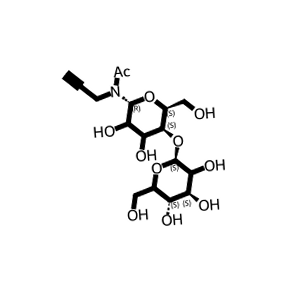 C#CCN(C(C)=O)[C@@H]1O[C@@H](CO)[C@@H](O[C@@H]2OC(CO)[C@@H](O)[C@H](O)C2O)C(O)C1O